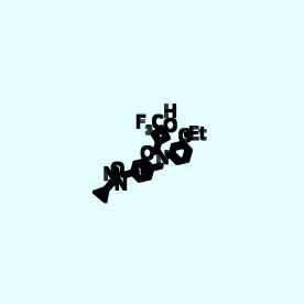 CCOc1cccc(N(CC23CCC(c4nc(C5CC5)no4)(CC2)CC3)C(=O)C2CC(O)(C(F)(F)F)C2)c1